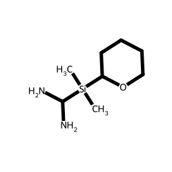 C[Si](C)(C(N)N)C1CCCCO1